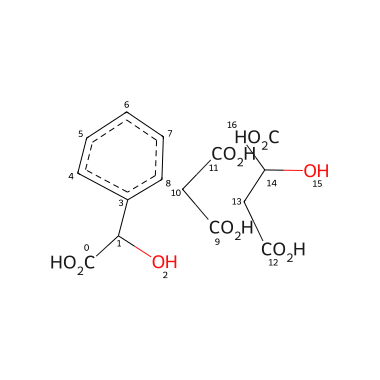 O=C(O)C(O)c1ccccc1.O=C(O)CC(=O)O.O=C(O)CC(O)C(=O)O